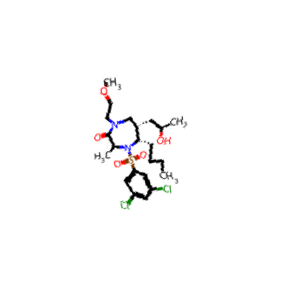 CCCC[C@H]1[C@@H](C[C@@H](C)O)CN(CCOC)C(=O)C(C)N1S(=O)(=O)c1cc(Cl)cc(Cl)c1